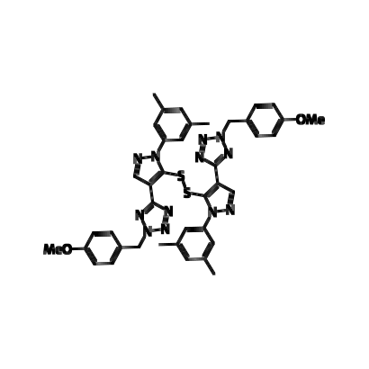 COc1ccc(Cn2nnc(-c3cnn(-c4cc(C)cc(C)c4)c3SSc3c(-c4nnn(Cc5ccc(OC)cc5)n4)cnn3-c3cc(C)cc(C)c3)n2)cc1